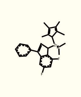 CC1=C(C)[CH]([Zr]([CH]2C=C(c3ccccc3)c3cc(F)cc(F)c32)=[Si](C)C)C(C)=C1C